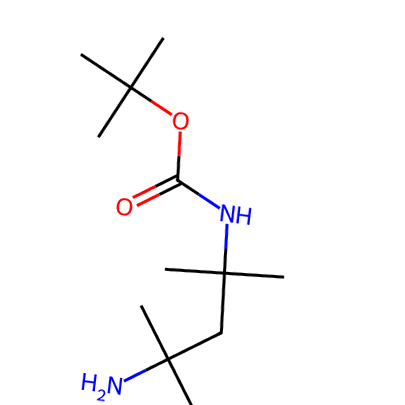 CC(C)(N)CC(C)(C)NC(=O)OC(C)(C)C